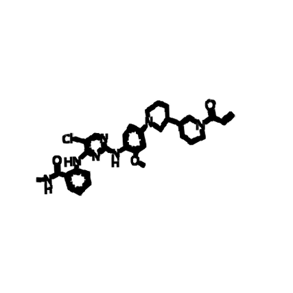 C=CC(=O)N1CCCC(C2CCCN(c3ccc(Nc4ncc(Cl)c(Nc5ccccc5C(=O)NC)n4)c(OC)c3)C2)C1